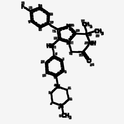 CN1CCN(c2ccc(Nc3c(-c4ccc(F)cc4)nc4n3CC(=O)NC4(C)C)cc2)CC1